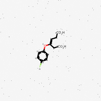 O=C(O)CC=C(CC(=O)O)Oc1ccc(F)cc1